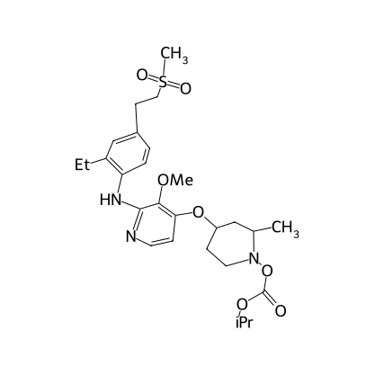 CCc1cc(CCS(C)(=O)=O)ccc1Nc1nccc(OC2CCN(OC(=O)OC(C)C)C(C)C2)c1OC